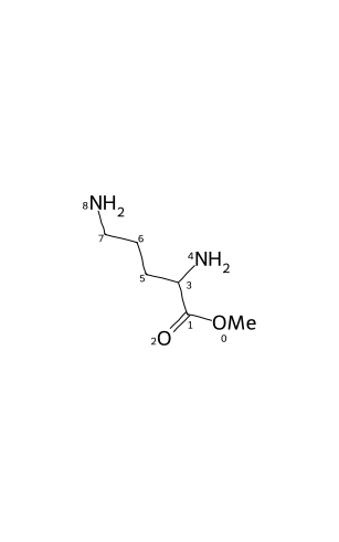 COC(=O)C(N)CCCN